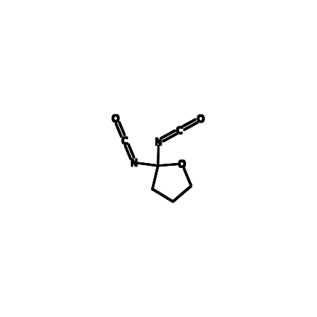 O=C=NC1(N=C=O)CCCO1